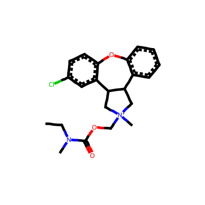 CCN(C)C(=O)OC[N+]1(C)CC2c3ccccc3Oc3ccc(Cl)cc3C2C1